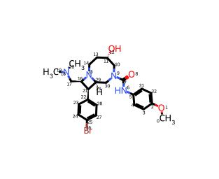 COc1ccc(NC(=O)N2C[C@@H](O)CCN3[C@H](CN(C)C)[C@H](c4ccc(Br)cc4)[C@@H]3C2)cc1